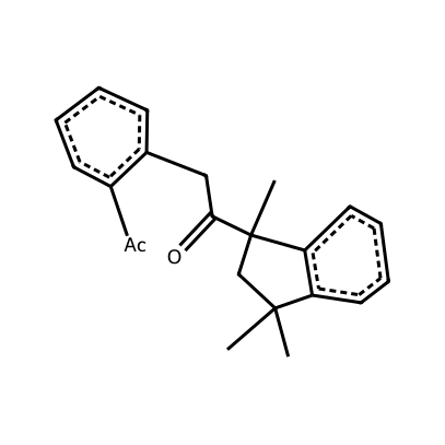 CC(=O)c1ccccc1CC(=O)C1(C)CC(C)(C)c2ccccc21